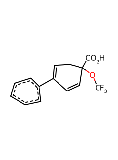 O=C(O)C1(OC(F)(F)F)C=CC(c2ccccc2)=CC1